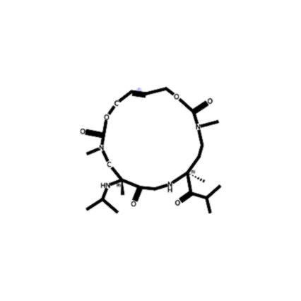 CC(C)N[C@]1(C)CN(C)C(=O)OC/C=C/COC(=O)N(C)CC[C@@](C)(C(=O)C(C)C)NCC1=O